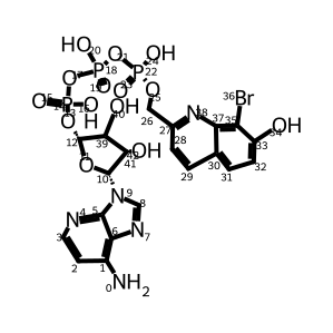 Nc1ccnc2c1ncn2[C@@H]1O[C@H](OP(=O)(O)OP(=O)(O)OP(=O)(O)OCc2ccc3ccc(O)c(Br)c3n2)C(O)[C@@H]1O